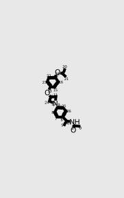 CC(=O)NC(C)c1ccc(N2CC(Oc3ccc(OC(C)C)cc3)C2)cc1